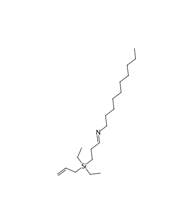 C=CC[Si](CC)(CC)CCC=NCCCCCCCCCC